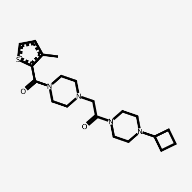 Cc1ccsc1C(=O)N1CCN(CC(=O)N2CCN(C3CCC3)CC2)CC1